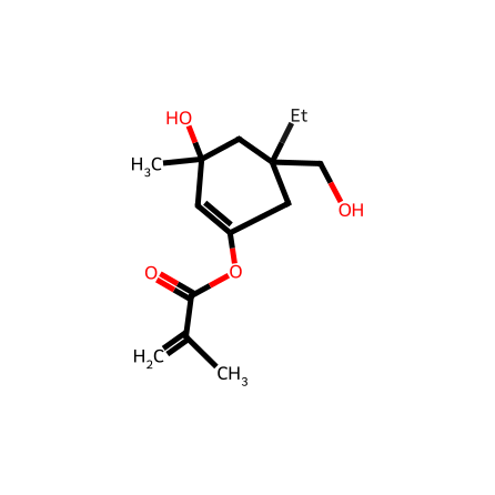 C=C(C)C(=O)OC1=CC(C)(O)CC(CC)(CO)C1